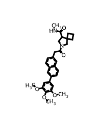 CNC(=O)C1CN(C(=O)Cc2ccc3cc(-c4cc(OC)c(OC)c(OC)c4)ccc3c2)CC12CCC2